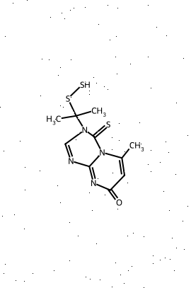 Cc1cc(=O)nc2ncn(C(C)(C)SS)c(=S)n12